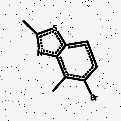 Cc1nc2c(C)c(Br)ccc2s1